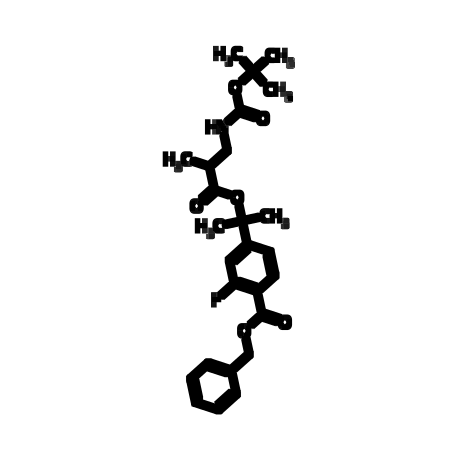 CC(CNC(=O)OC(C)(C)C)C(=O)OC(C)(C)c1ccc(C(=O)OCc2ccccc2)c(F)c1